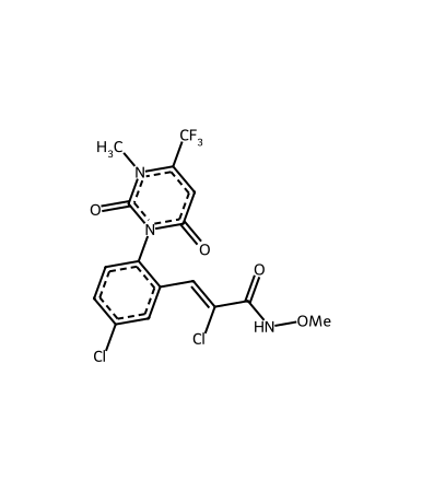 CONC(=O)C(Cl)=Cc1cc(Cl)ccc1-n1c(=O)cc(C(F)(F)F)n(C)c1=O